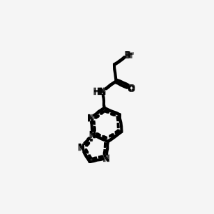 O=C(CBr)Nc1ccc2ncnn2n1